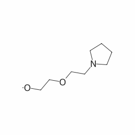 [O]CCOCCN1CCCC1